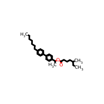 CCCCCCCc1ccc(-c2ccc(C(C)OC(=O)CCCC(C)CC)cc2)cc1